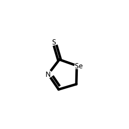 S=C1N=CC[Se]1